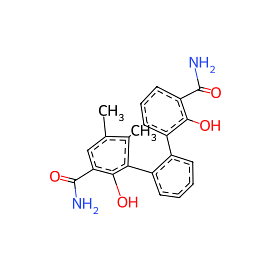 Cc1cc(C(N)=O)c(O)c(-c2ccccc2-c2cccc(C(N)=O)c2O)c1C